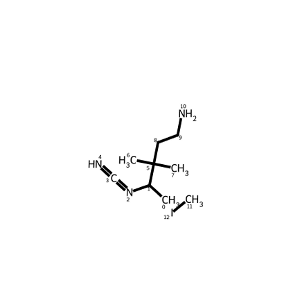 CC(N=C=N)C(C)(C)CCN.CI